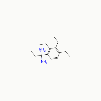 CCc1ccc(C(N)(N)CC)c(CC)c1CC